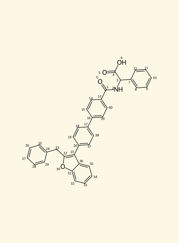 O=C(NC(C(=O)O)c1ccccc1)c1ccc(-c2ccc(-c3c(Cc4ccccc4)oc4ccccc34)cc2)cc1